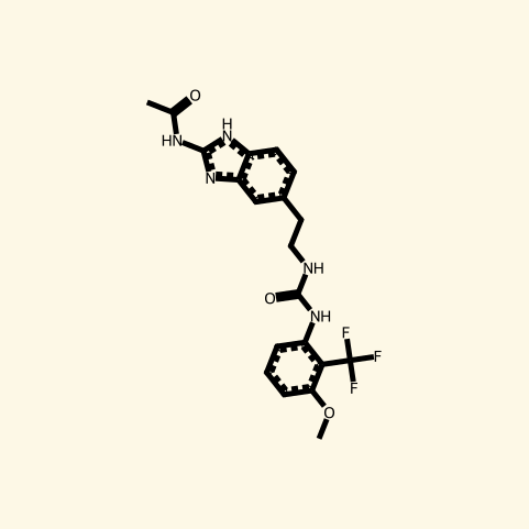 COc1cccc(NC(=O)NCCc2ccc3[nH]c(NC(C)=O)nc3c2)c1C(F)(F)F